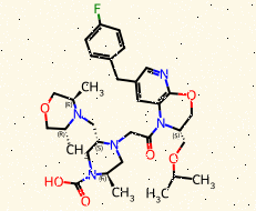 CC(C)OC[C@H]1COc2ncc(Cc3ccc(F)cc3)cc2N1C(=O)CN1C[C@@H](C)N(C(=O)O)C[C@@H]1CN1[C@H](C)COC[C@H]1C